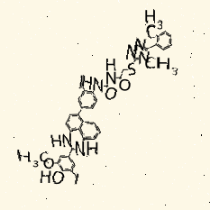 COc1cc(C2Nc3cccc4c(-c5ccc(NC(=O)NC(=O)CSc6nnc(-c7ccccc7C)n6C)c(I)c5)ccc(c34)N2)cc(I)c1O